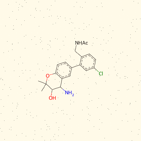 CC(=O)NCc1ccc(Cl)cc1-c1ccc2c(c1)C(N)C(O)C(C)(C)O2